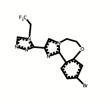 FC(F)(F)Cn1cnnc1-c1cn2c(n1)-c1ccc(Br)cc1OCC2